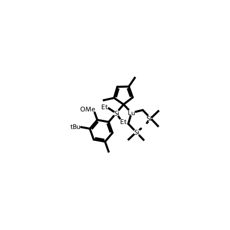 CC[Si](CC)(c1cc(C)cc(C(C)(C)C)c1OC)[C]1([Lu]([CH2][Si](C)(C)C)[CH2][Si](C)(C)C)C=C(C)C=C1C